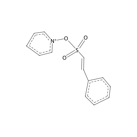 O=S(=O)(C=Cc1ccccc1)O[n+]1ccccc1